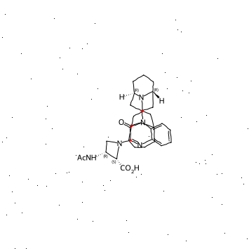 CC(=O)N[C@@H]1CN(c2nc3ccccc3n(C3C[C@H]4CCC[C@H](C3)N4C3CC4CCCCC(C4)C3)c2=O)[C@@H]1C(=O)O